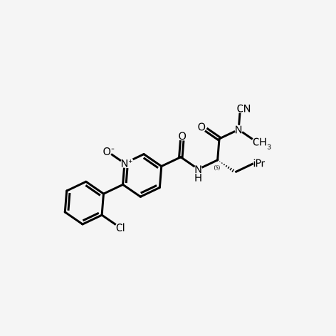 CC(C)C[C@H](NC(=O)c1ccc(-c2ccccc2Cl)[n+]([O-])c1)C(=O)N(C)C#N